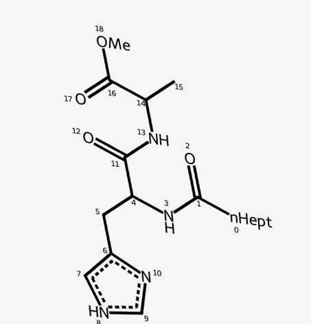 CCCCCCCC(=O)NC(Cc1c[nH]cn1)C(=O)NC(C)C(=O)OC